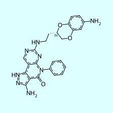 Nc1ccc2c(c1)OC[C@H](CCNc1ncc3c4[nH]nc(N)c4c(=O)n(-c4ccccc4)c3n1)O2